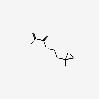 C=C(C)C(=O)OCCC1(CC)CO1